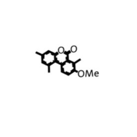 COc1ccc2c(c1C)c(=O)oc1cc(C)cc(C)c12